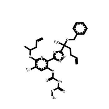 C=CCCC(OCc1ccccc1)(c1nnc(-c2nc(OC(C)CC=C)c(C(F)(F)F)cc2OC(=O)NC(=O)OC(C)(C)C)o1)C(F)(F)F